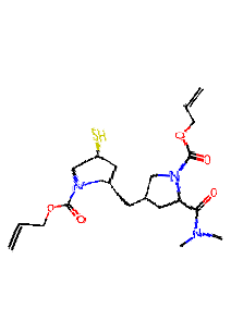 C=CCOC(=O)N1CC(C[C@@H]2C[C@H](S)CN2C(=O)OCC=C)CC1C(=O)N(C)C